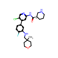 CC1(CNc2cc(-c3cc(NC(=O)[C@@H]4CCCNC4)ncc3Cl)ccc2F)CCOCC1